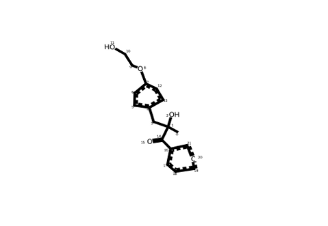 CC(O)(Cc1ccc(OCCO)cc1)C(=O)c1ccccc1